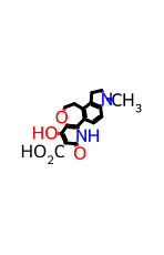 CN1CCc2c1ccc1c2CCOc2c-1[nH]c(=O)c(C(=O)O)c2O